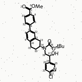 COC(=O)c1ccc(-c2ccc3c(c2)C[C@@H](N(C[C@@H](O)c2ccc(Cl)nc2)C(=O)OC(C)(C)C)CC3)cc1